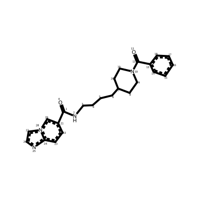 O=C(NCCCCC1CCN(C(=O)c2ccccc2)CC1)c1ccc2nccn2c1